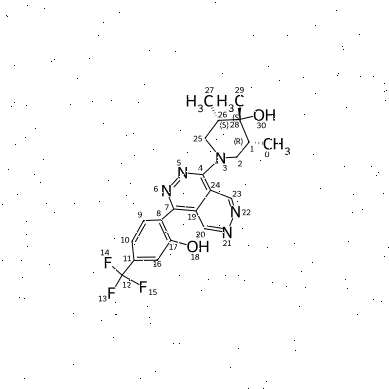 C[C@@H]1CN(c2nnc(-c3ccc(C(F)(F)F)cc3O)c3cnncc23)C[C@H](C)[C@]1(C)O